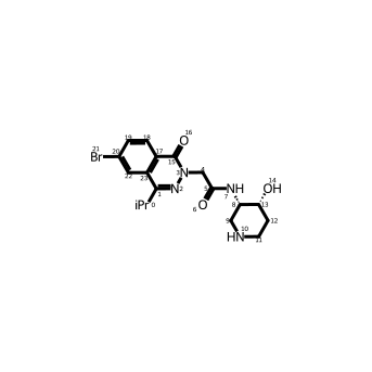 CC(C)c1nn(CC(=O)N[C@H]2CNCC[C@H]2O)c(=O)c2ccc(Br)cc12